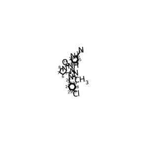 Cc1nnc([C@H]2CCCN2C(=O)Nc2ccc(C#N)nc2)n1Cc1ccc(Cl)cc1